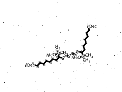 CCCCCCCCCCCCCCCCCC(SSSSSSC(CCCCCCCCCCCCCCCCC)[Si](C)(C)OC)[Si](C)(C)OC